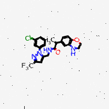 CC(C(=O)NCc1cc(C(F)(F)F)nn1-c1cccc(Cl)c1)c1ccc2c(c1)NCCO2